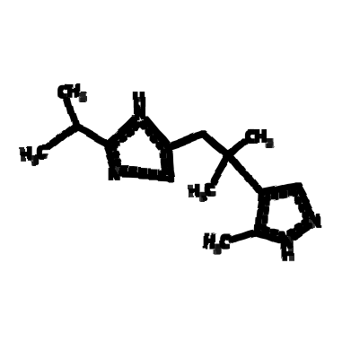 Cc1[nH]ncc1C(C)(C)Cc1cnc(C(C)C)[nH]1